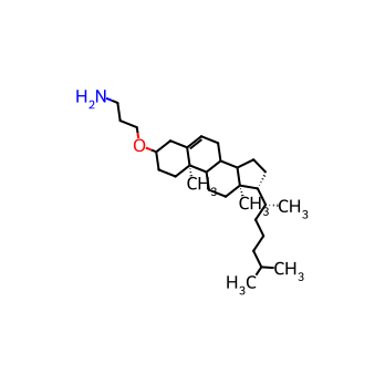 CC(C)CCC[C@@H](C)[C@H]1CCC2C3CC=C4CC(OCCCN)CC[C@]4(C)C3CC[C@@]21C